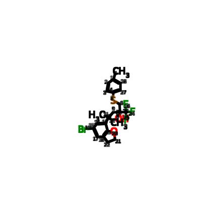 Cc1ccc(SC[C@](O)(CC(C)(C)c2cc(Br)cc3c2OCC3)C(F)(F)F)cc1